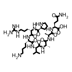 CC(C)[C@H](NC(=O)[C@H](CCCCN)NC(=O)[C@H](CCCNC(=N)N)NC(=O)[C@@H]1CCCN1)C(=O)N[C@@H](C)C(=O)N[C@@H](C)C(=O)N[C@@H](CCC(N)=O)C(=O)O